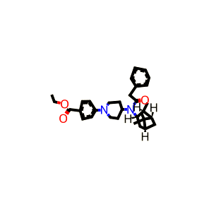 CCOC(=O)c1ccc(N2CCC(N(C(=O)Cc3ccccc3)[C@H]3C[C@H]4C[C@@H]([C@@H]3C)C4(C)C)CC2)cc1